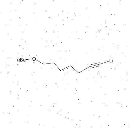 [Li][C]#CCCCCCOCCCC